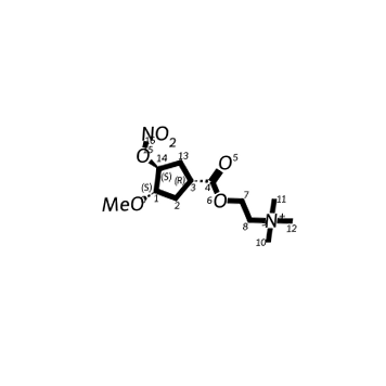 CO[C@H]1C[C@@H](C(=O)OCC[N+](C)(C)C)C[C@@H]1O[N+](=O)[O-]